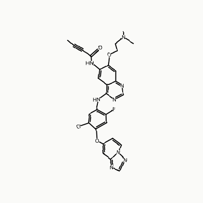 CC#CC(=O)Nc1cc2c(Nc3cc(Cl)c(Oc4ccn5ncnc5c4)cc3F)ncnc2cc1OCCN(C)C